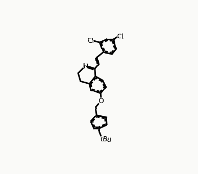 CC(C)(C)c1ccc(COc2ccc3c(c2)CCN=C3C=Cc2ccc(Cl)cc2Cl)cc1